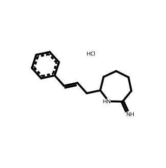 Cl.N=C1CCCCC(CC=Cc2ccccc2)N1